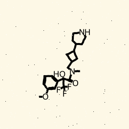 COc1cccc(C(O)(C(=O)N(C)CC2CC(C3CCNCC3)C2)C(F)(F)F)c1